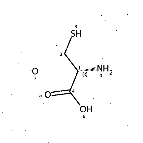 N[C@@H](CS)C(=O)O.[O]